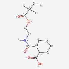 CCC(C)(C)C(=O)OCCN(C)C(=O)C1CCCCC1C(=O)O